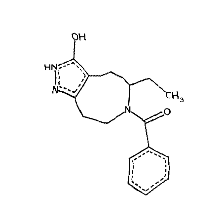 CCC1Cc2c(n[nH]c2O)CCN1C(=O)c1ccccc1